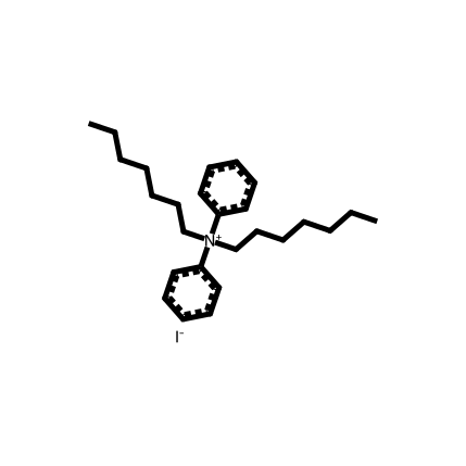 CCCCCCC[N+](CCCCCCC)(c1ccccc1)c1ccccc1.[I-]